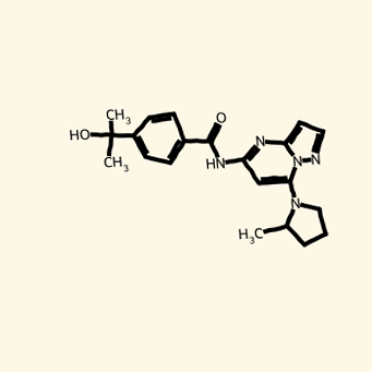 CC1CCCN1c1cc(NC(=O)c2ccc(C(C)(C)O)cc2)nc2ccnn12